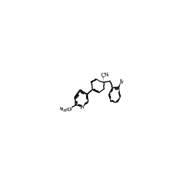 COc1ccc(C2=CC[C@](C#N)(Cc3ccccc3Br)CC2)cn1